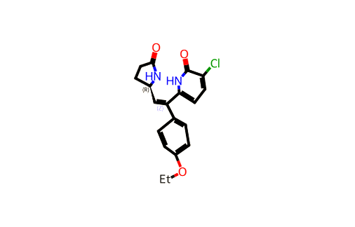 CCOc1ccc(/C(=C/[C@H]2CCC(=O)N2)c2ccc(Cl)c(=O)[nH]2)cc1